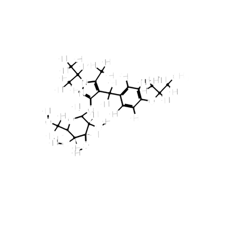 [2H]OC([2H])([2H])[C@@]1([2H])O[C@@]([2H])(Oc2nn(C([2H])(C([2H])([2H])[2H])C([2H])([2H])[2H])c(C([2H])([2H])[2H])c2C([2H])([2H])c2c([2H])c([2H])c(OC([2H])(C([2H])([2H])[2H])C([2H])([2H])C)c([2H])c2[2H])[C@]([2H])(O[2H])[C@@]([2H])(O[2H])[C@]1([2H])O[2H]